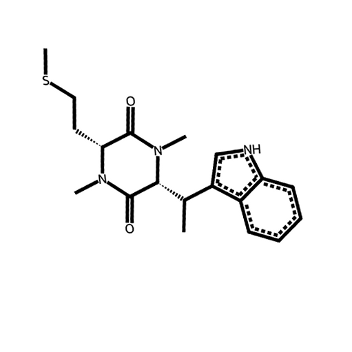 CSCC[C@@H]1C(=O)N(C)[C@H](C(C)c2c[nH]c3ccccc23)C(=O)N1C